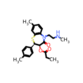 CCC(=O)O[C@@H]1C(=O)N(CCNC)c2ccc(C)cc2S[C@@H]1c1ccc(C)cc1